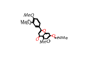 CNCOc1cc(OC)c2c(=O)cc(-c3ccc(OC)c(OC)c3)oc2c1